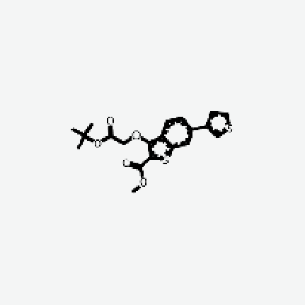 COC(=O)c1sc2cc(-c3ccsc3)ccc2c1OCC(=O)OC(C)(C)C